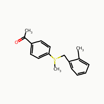 CC(=O)c1ccc([S+](C)Cc2ccccc2C)cc1